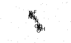 O=C1CCC(N2C(=O)c3ccc(C4CN(C5CCN(c6cccc(-c7cnc8ccc(N9CCCC9c9cccc(F)c9)nn78)n6)CC5)C4)cc3C2=O)C(=O)N1